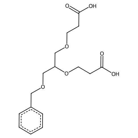 O=C(O)CCOCC(COCc1ccccc1)OCCC(=O)O